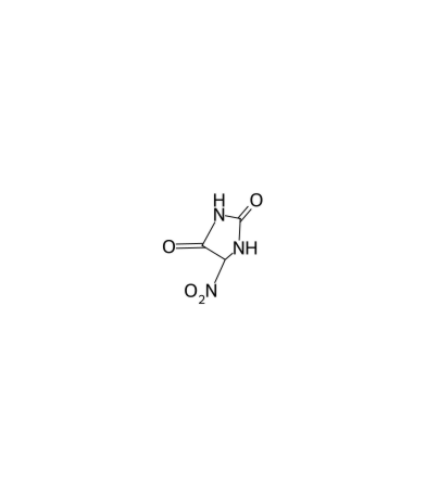 O=C1NC(=O)C([N+](=O)[O-])N1